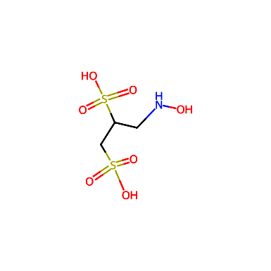 O=S(=O)(O)CC(CNO)S(=O)(=O)O